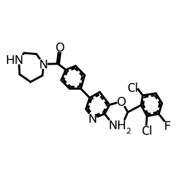 CC(Oc1cc(-c2ccc(C(=O)N3CCCNCC3)cc2)cnc1N)c1c(Cl)ccc(F)c1Cl